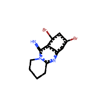 N=c1c2c(Br)cc(Br)cc2nc2n1CCCC2